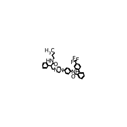 CCCCNC(=O)C(CN1CCN(c2ccc(NC(=O)c3ccccc3-c3ccc(C(F)(F)F)cc3)cc2)CC1)c1ccccc1